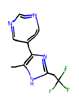 Cc1[nH]c(C(F)(F)F)nc1-c1cncnc1